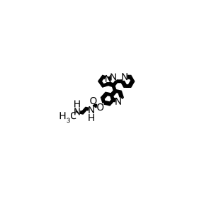 CNCCNC(=O)Oc1ccc2c(-c3c(-c4ccccn4)nn4c3CCC4)ccnc2c1